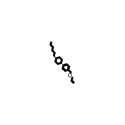 C=CCOCc1ccc([C@H]2CC[C@H](CCCCCC)CC2)cc1